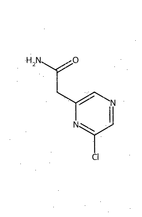 NC(=O)Cc1cncc(Cl)n1